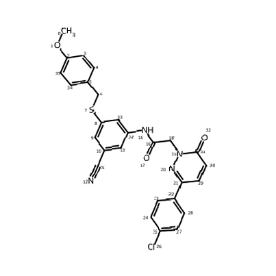 COc1ccc(CSc2cc(C#N)cc(NC(=O)Cn3nc(-c4ccc(Cl)cc4)ccc3=O)c2)cc1